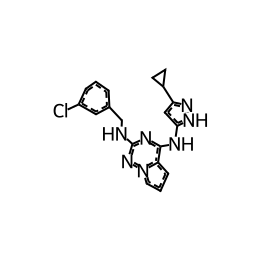 Clc1cccc(CNc2nc(Nc3cc(C4CC4)n[nH]3)c3cccn3n2)c1